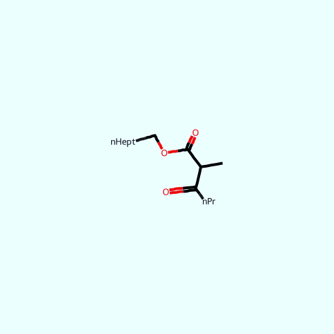 CCCCCCCCOC(=O)C(C)C(=O)CCC